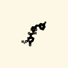 CN1N=C(C(=O)Nc2ncc(Cc3cccc(F)c3)o2)CCC1=O